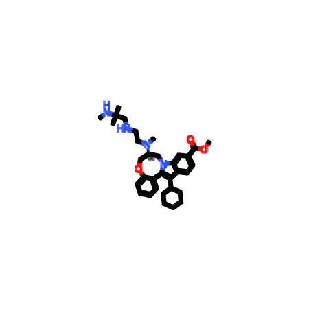 CNC(C)(C)CNCCN(C)[C@H]1COc2ccccc2-c2c(C3CCCCC3)c3ccc(C(=O)OC)cc3n2C1